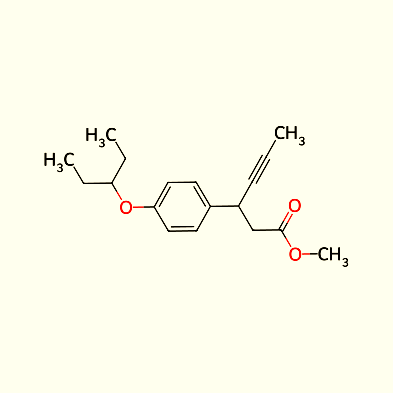 CC#CC(CC(=O)OC)c1ccc(OC(CC)CC)cc1